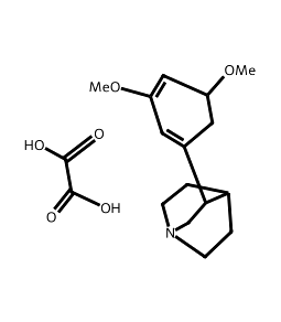 COC1=CC(OC)CC(C2CN3CCC2CC3)=C1.O=C(O)C(=O)O